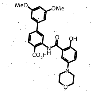 COc1cc(OC)cc(-c2ccc(C(=O)O)c(NC(=O)c3cc(N4CCOCC4)ccc3O)c2)c1